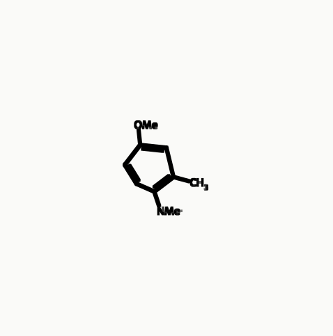 C[N]c1ccc(OC)cc1C